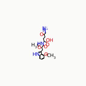 COc1cccc2[nH]cc(CC(OC)C(=O)NC(CCC(=O)C=[N+]=[N-])C(=O)O)c12